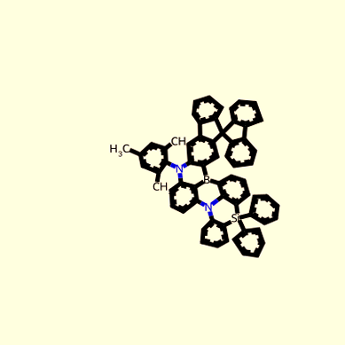 Cc1cc(C)c(N2c3cc4c(cc3B3c5cccc6c5N(c5ccccc5[Si]6(c5ccccc5)c5ccccc5)c5cccc2c53)C2(c3ccccc3-c3ccccc32)c2ccccc2-4)c(C)c1